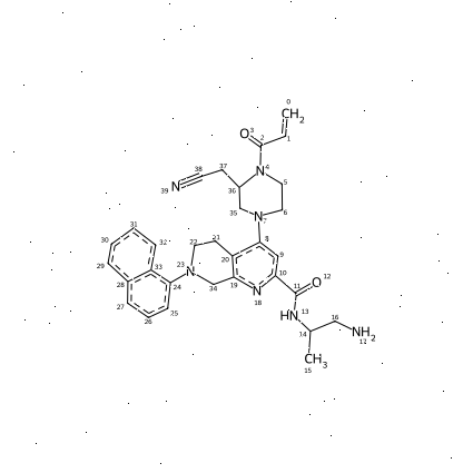 C=CC(=O)N1CCN(c2cc(C(=O)NC(C)CN)nc3c2CCN(c2cccc4ccccc24)C3)CC1CC#N